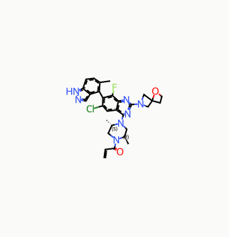 C=CC(=O)N1C[C@H](C)N(c2nc(N3CC4(CCO4)C3)nc3c(F)c(-c4c(C)ccc5[nH]ncc45)c(Cl)cc23)C[C@H]1C